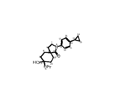 CCCC1(O)CCC2(CCN(c3ccc(C4CC4)cc3)C2=O)CC1